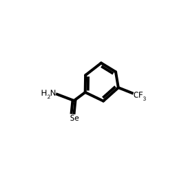 NC(=[Se])c1cccc(C(F)(F)F)c1